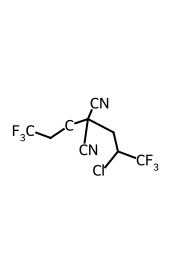 N#CC(C#N)(CCC(F)(F)F)CC(Cl)C(F)(F)F